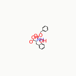 O=C(N[C@@H](Cc1ccccc1O)C(=O)O)OCc1ccccc1